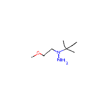 COCCN(N)C(C)(C)C